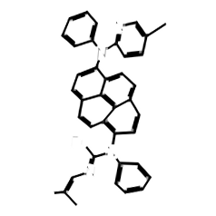 CC/C(=N\C=C(C)C)N(c1ccccc1)c1ccc2ccc3c(N(c4ccccc4)c4ccc(C)cn4)ccc4ccc1c2c43